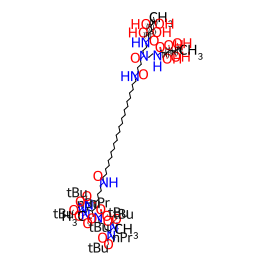 CCCCN(C(=O)OC(C)(C)C)C(C(CCCCCCNC(=O)CCCCCCCCCCCCCCCCCCCCCCCNC(=O)CCC(=O)N(CCNC(=O)[C@H](O)[C@@H](O)[C@H](O)[C@@H](C)O)CCNC(=O)[C@H](O)[C@@H](O)[C@H](O)[C@@H](C)O)CN(CCCC(N(C)C(=O)OC(C)(C)C)N(CCC)C(=O)OC(C)(C)C)C(=O)OC(C)(C)C)(N(C)C(=O)OC(C)(C)C)N(CCC)C(=O)OC(C)(C)C